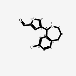 O=Cc1cc(C2OCCCc3ccc(Cl)cc32)cs1